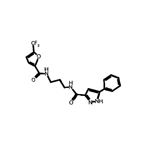 O=C(NCCCNC(=O)c1ccc(C(F)(F)F)o1)c1cc(-c2ccccc2)[nH]n1